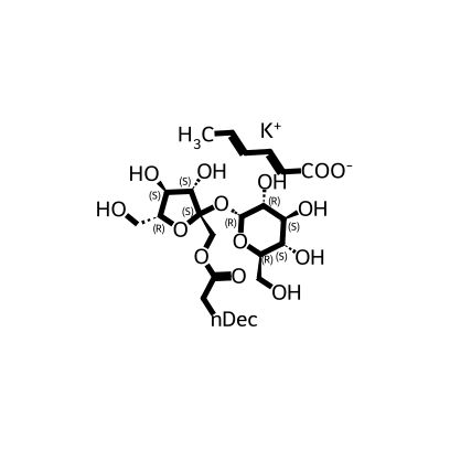 CC=CC=CC(=O)[O-].CCCCCCCCCCCC(=O)OC[C@@]1(O[C@H]2O[C@H](CO)[C@@H](O)[C@H](O)[C@H]2O)O[C@H](CO)[C@@H](O)[C@@H]1O.[K+]